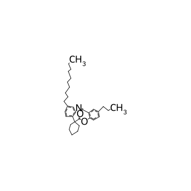 CCCCCCCCCCc1ccc(C2(C(=O)Oc3ccc(CCC)cc3C#N)CCCCC2)cc1